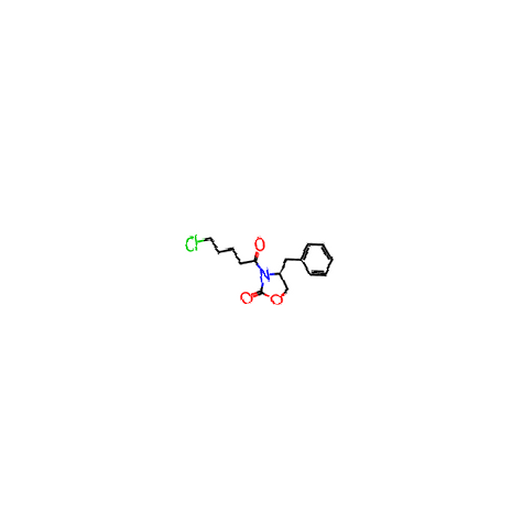 O=C(CCCCCl)N1C(=O)OC[C@@H]1Cc1ccccc1